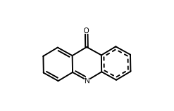 O=C1C2=CCC=CC2=Nc2ccccc21